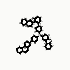 c1ccc2c(c1)ccc1cc(-c3ccc(N(c4ccc(-c5cccc6oc7c8ccccc8ccc7c56)cc4)c4ccc5oc6ccccc6c5c4)cc3)ccc12